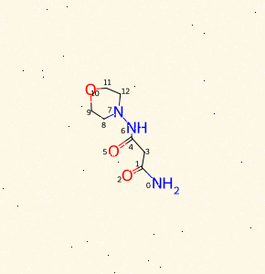 NC(=O)CC(=O)NN1CCOCC1